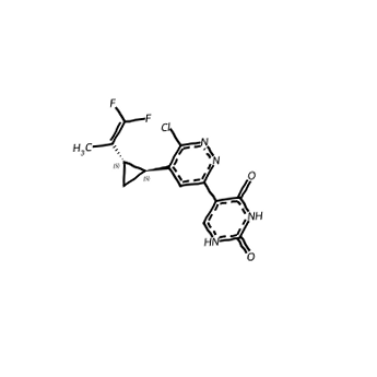 CC(=C(F)F)[C@H]1C[C@@H]1c1cc(-c2c[nH]c(=O)[nH]c2=O)nnc1Cl